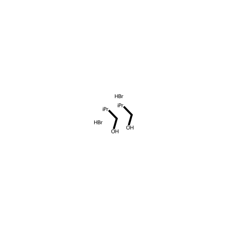 Br.Br.CC(C)CO.CC(C)CO